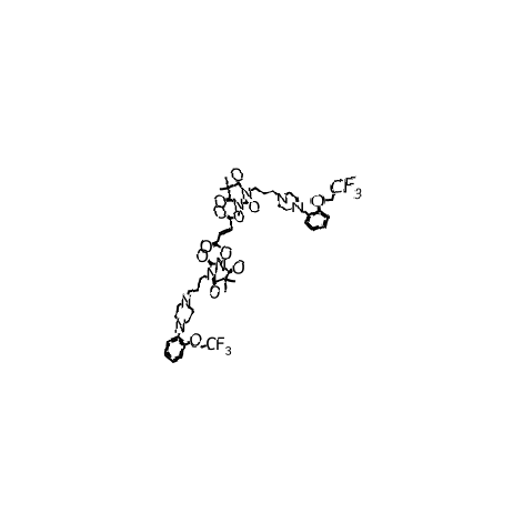 CC1(C)C(=O)N(CCCN2CCN(c3ccccc3OCC(F)(F)F)CC2)C(=O)N(OC(=O)/C=C/C(=O)ON2C(=O)N(CCCN3CCN(c4ccccc4OCC(F)(F)F)CC3)C(=O)C(C)(C)C2=O)C1=O